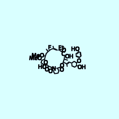 CCC1/C=C(\C)C(F)C(C)CC(OC)C2OC(O)(C(=O)C(=O)N3CCCCC3C(=O)OC(C(C)=CC3CCC(O)C(Oc4ccc(O)cc4)C3)C(C)C(O)CC1=O)C(C)CC2OC